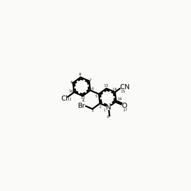 Cn1c(CBr)c(-c2cccc(Cl)c2)cc(C#N)c1=O